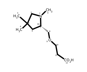 CN1CC(C)(C)C[C@H]1COCCC(=O)O